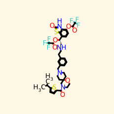 CC(C)c1ccc(C(=O)N2CCOC3(CCN(Cc4cccc(CCNC[C@H](OC(=O)C(F)(F)F)c5ccc(OC(=O)C(F)(F)F)c6[nH]c(=O)sc56)c4)CC3)C2)s1